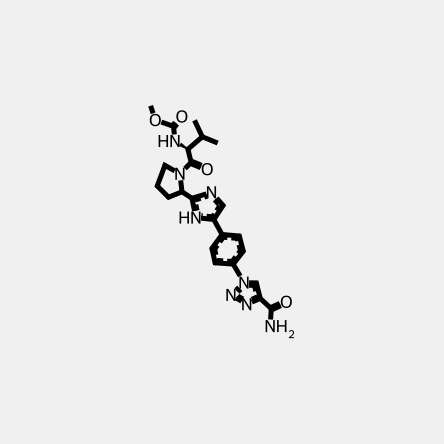 COC(=O)N[C@H](C(=O)N1CCCC1c1ncc(-c2ccc(-n3cc(C(N)=O)nn3)cc2)[nH]1)C(C)C